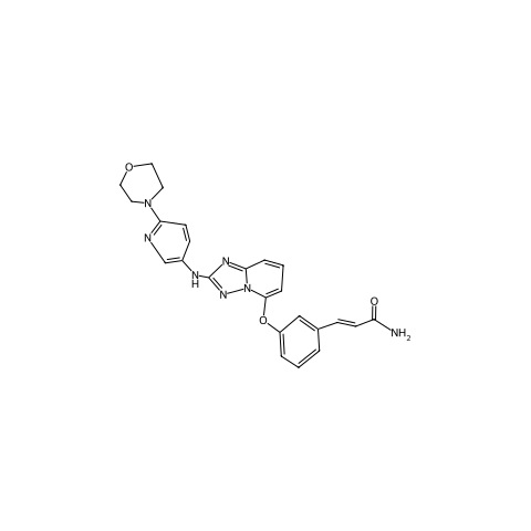 NC(=O)C=Cc1cccc(Oc2cccc3nc(Nc4ccc(N5CCOCC5)nc4)nn23)c1